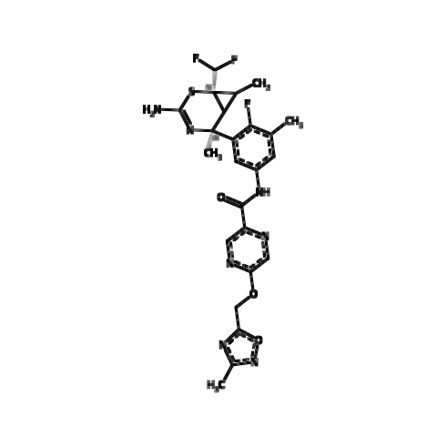 Cc1noc(COc2cnc(C(=O)Nc3cc(C)c(F)c([C@@]4(C)N=C(N)S[C@@]5(C(F)F)C(C)C54)c3)cn2)n1